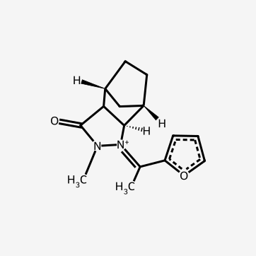 C/C(c1ccco1)=[N+]1/[C@H]2C(C(=O)N1C)[C@@H]1CC[C@H]2C1